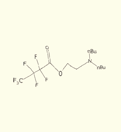 CCCCN(CCCC)CCOC(=O)C(F)(F)C(F)(F)C(F)(F)F